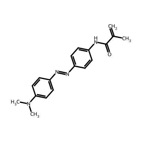 C=C(C)C(=O)Nc1ccc(N=Nc2ccc(N(C)C)cc2)cc1